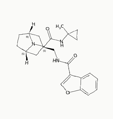 CC1(NC(=O)CN2[C@@H]3CC[C@H]2C[C@H](CNC(=O)c2coc4ccccc24)C3)CC1